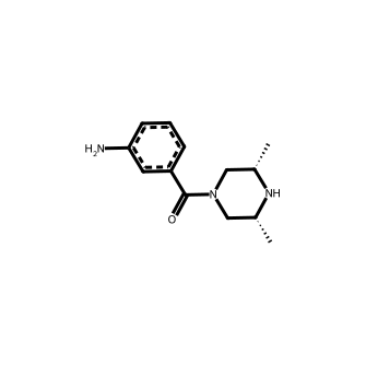 C[C@@H]1CN(C(=O)c2cccc(N)c2)C[C@H](C)N1